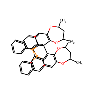 CC1CC(C)Oc2c(ccc(P(c3ccccc3)c3ccccc3)c2-c2c(P(c3ccccc3)c3ccccc3)ccc3c2OC(C)CC(C)O3)O1